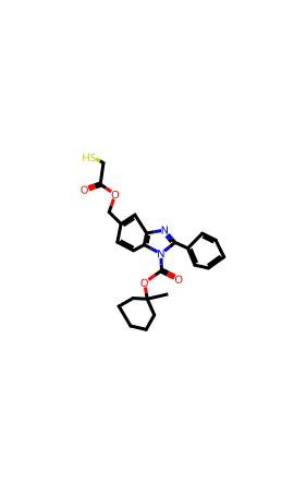 CC1(OC(=O)n2c(-c3ccccc3)nc3cc(COC(=O)CS)ccc32)CCCCC1